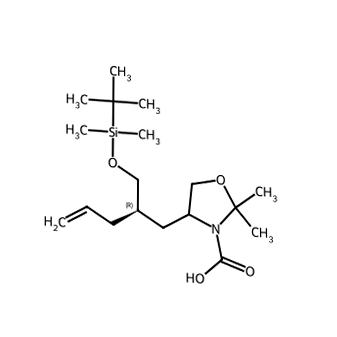 C=CC[C@@H](CO[Si](C)(C)C(C)(C)C)CC1COC(C)(C)N1C(=O)O